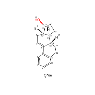 CC[C@]12CC=C3c4ccc(OC)cc4CC[C@H]3[C@@H]1CC[C@@H]2O